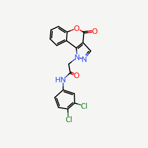 O=C(Cn1ncc2c(=O)oc3ccccc3c21)Nc1ccc(Cl)c(Cl)c1